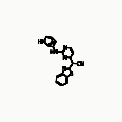 N#CC(c1ccnc(NC2Cc3c[nH]c2n3)n1)c1nc2ccccc2s1